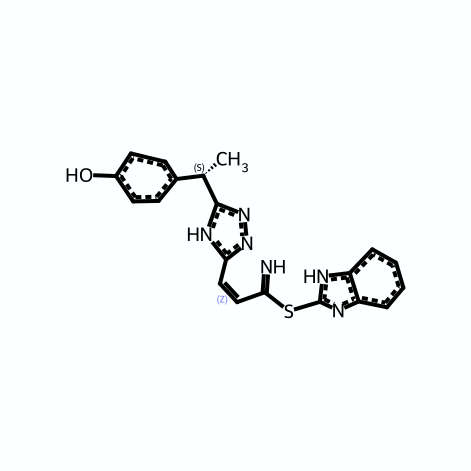 C[C@@H](c1ccc(O)cc1)c1nnc(/C=C\C(=N)Sc2nc3ccccc3[nH]2)[nH]1